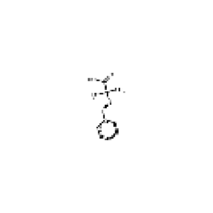 CC(C)(N=Nc1ccccc1)C(=O)O